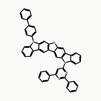 c1ccc(-c2ccc(-n3c4ccccc4c4cc5c(cc43)sc3cc4c6ccccc6n(-c6cc(-c7ccccc7)nc(-c7ccccc7)n6)c4cc35)cc2)cc1